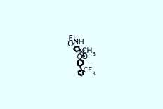 CCNC(=O)[C@H]1CC[C@@H](N(C)C(=O)Oc2ccc(-c3ccccc3C(F)(F)F)cc2)C1